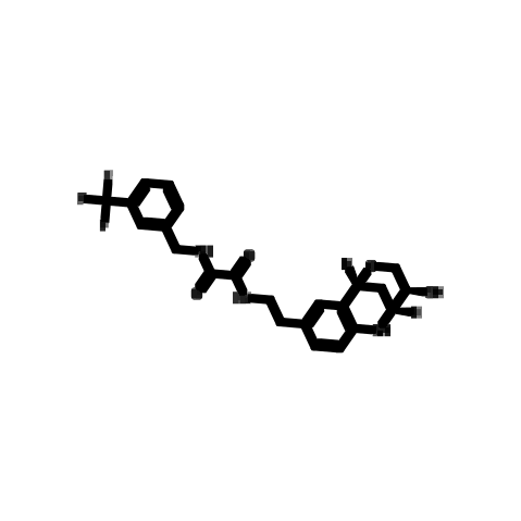 O=C(NCCc1ccc2c(c1)[C@H]1C[C@@H](N2)[C@H](O)CO1)C(=O)NCc1cccc(C(F)(F)F)c1